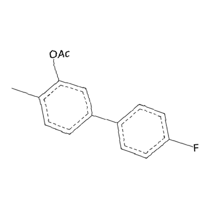 CC(=O)Oc1cc(-c2ccc(F)cc2)ccc1C